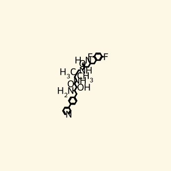 CC(C)(CNC(=O)CC(N)Cc1cc(F)ccc1F)CNC(=O)C(O)C(N)Cc1ccc(-c2cccnc2)cc1